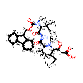 CC[C@H](C)[C@@H]([C@@H](CC(=O)O)OC)N(C)[C@H](C(=O)NC(=O)[C@H](C(C)C)N(C)C(=O)OCC1c2ccccc2-c2ccccc21)C(C)C